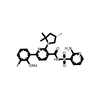 COc1c(F)cccc1-c1ccc(C(=O)NS(=O)(=O)c2cccnc2N)c(N2C[C@@H](C)CC2(C)C)n1